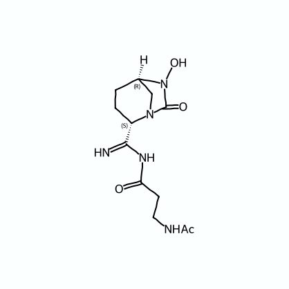 CC(=O)NCCC(=O)NC(=N)[C@@H]1CC[C@@H]2CN1C(=O)N2O